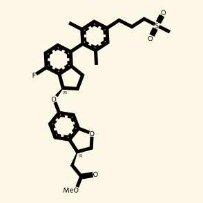 COC(=O)C[C@@H]1COc2cc(O[C@@H]3CCc4c(-c5c(C)cc(CCCS(C)(=O)=O)cc5C)ccc(F)c43)ccc21